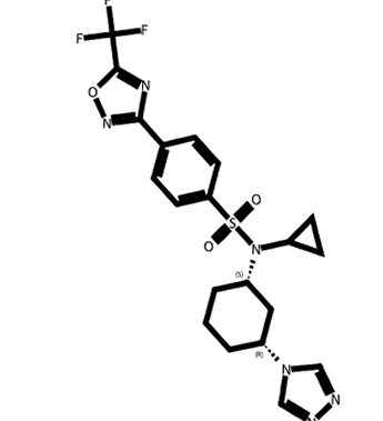 O=S(=O)(c1ccc(-c2noc(C(F)(F)F)n2)cc1)N(C1CC1)[C@H]1CCC[C@@H](n2cnnc2)C1